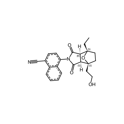 CC[C@@]12CC[C@@](CCO)(O1)[C@H]1C(=O)N(c3ccc(C#N)c4ccccc34)C(=O)[C@H]12